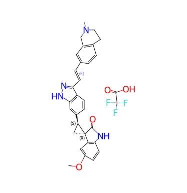 COc1ccc2c(c1)[C@]1(C[C@H]1c1ccc3c(/C=C/c4ccc5c(c4)CN(C)CC5)n[nH]c3c1)C(=O)N2.O=C(O)C(F)(F)F